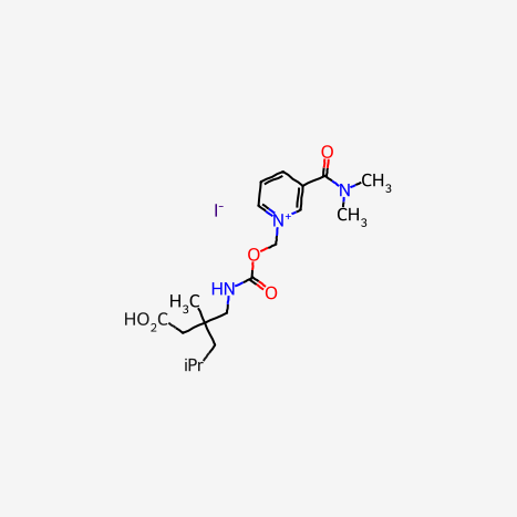 CC(C)CC(C)(CNC(=O)OC[n+]1cccc(C(=O)N(C)C)c1)CC(=O)O.[I-]